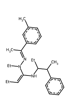 CC/C=C(/NC(CC)C(C)c1ccccc1)N(CC)/N=C(\C)c1cccc(C)c1